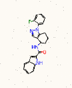 O=C(N[C@@H]1CCCc2c1cnn2-c1ccccc1F)c1cc2ccccc2[nH]1